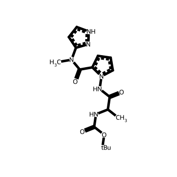 CC(NC(=O)OC(C)(C)C)C(=O)Nn1cccc1C(=O)N(C)c1cc[nH]n1